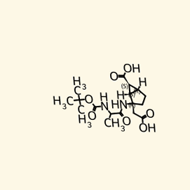 CC(NC(=O)OC(C)(C)C)C(=O)N[C@@]1(CC(=O)O)CC[C@H]2[C@H](C(=O)O)[C@H]21